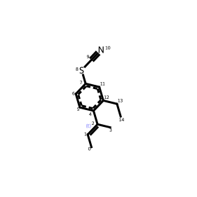 C/C=C(\C)c1ccc(SC#N)cc1CC